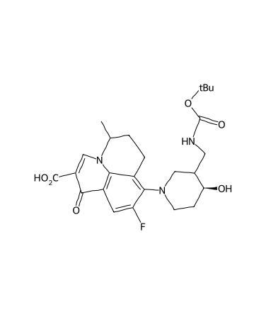 CC1CCc2c(N3CC[C@H](O)C(CNC(=O)OC(C)(C)C)C3)c(F)cc3c(=O)c(C(=O)O)cn1c23